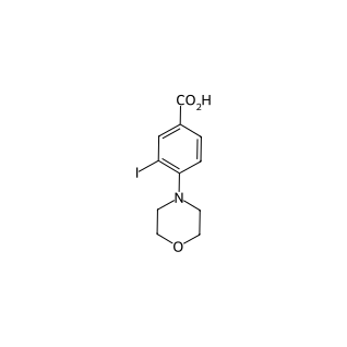 O=C(O)c1ccc(N2CCOCC2)c(I)c1